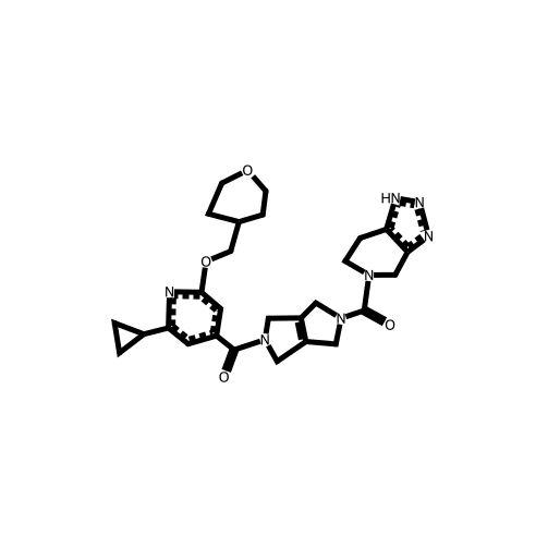 O=C(c1cc(OCC2CCOCC2)nc(C2CC2)c1)N1CC2=C(C1)CN(C(=O)N1CCc3[nH]nnc3C1)C2